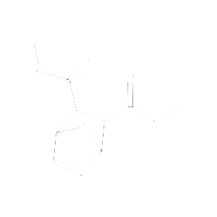 COC(=O)C1C2C=CC(S2)C1C(=O)OC